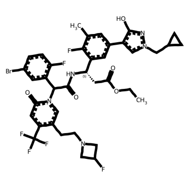 CCOC(=O)C[C@H](NC(=O)C(c1cc(Br)ccc1F)n1cc(CCN2CC(F)C2)c(C(F)(F)F)cc1=O)c1cc(-c2cn(CC3CC3)nc2O)cc(C)c1F